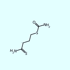 NC(=O)SCC[CH]C(N)=S